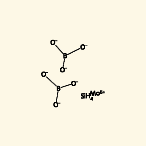 [Mo+6].[O-]B([O-])[O-].[O-]B([O-])[O-].[SiH4]